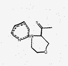 CC(=S)C1COCCN1.c1ccncc1